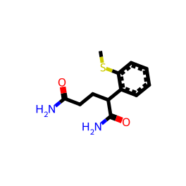 CSc1ccccc1C(CCC(N)=O)C(N)=O